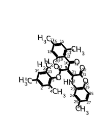 Cc1cc(C)c(OC(=O)C(C(=O)c2c(C)cc(C)cc2C)=C2Nc3cc(C)ccc3OC2=O)c(C)c1